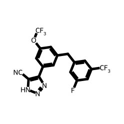 N#Cc1[nH]nnc1-c1cc(Cc2cc(F)cc(C(F)(F)F)c2)cc(OC(F)(F)F)c1